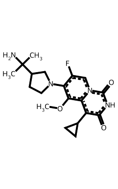 COc1c(N2CCC(C(C)(C)N)C2)c(F)cn2c(=O)[nH]c(=O)c(C3CC3)c12